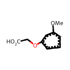 COc1[c]ccc(OCC(=O)O)c1